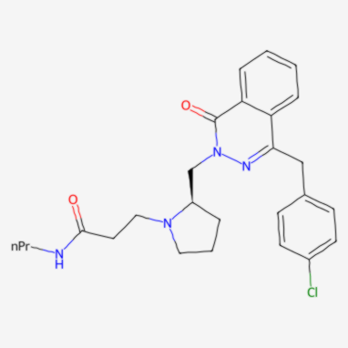 CCCNC(=O)CCN1CCC[C@@H]1Cn1nc(Cc2ccc(Cl)cc2)c2ccccc2c1=O